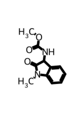 COC(=O)NC1C(=O)N(C)c2ccccc21